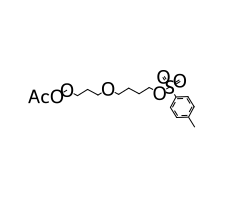 CC(=O)OOCCCOCCCCOS(=O)(=O)c1ccc(C)cc1